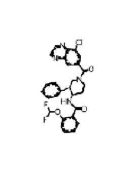 O=C(N[C@@H]1CCN(C(=O)c2cc(Cl)c3nccnc3c2)C[C@@H]1c1ccccc1)c1ccccc1OC(F)F